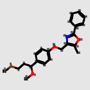 CCOC(CCSCC)c1ccc(OCc2nc(-c3ccccc3)oc2C)cc1